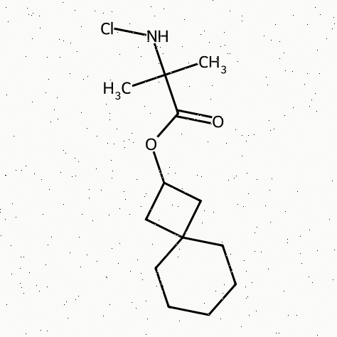 CC(C)(NCl)C(=O)OC1CC2(CCCCC2)C1